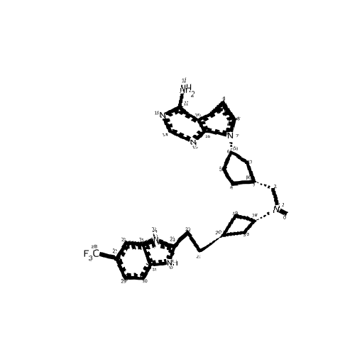 CN(C[C@@H]1CC[C@H](n2ccc3c(N)ncnc32)C1)[C@H]1C[C@H](CCc2nc3cc(C(F)(F)F)ccc3[nH]2)C1